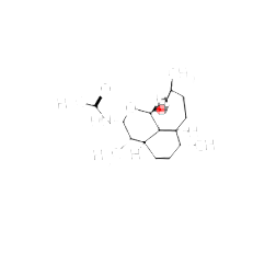 CC(=O)N[C@@H]1O[C@@H]2OC3(C)CC[C@H]4[C@H](C)CC[C@@H]([C@H]1C)[C@@]24OO3